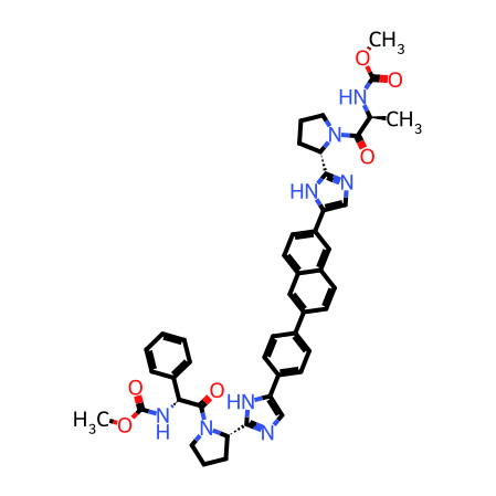 COC(=O)N[C@@H](C)C(=O)N1CCC[C@H]1c1ncc(-c2ccc3cc(-c4ccc(-c5cnc([C@@H]6CCCN6C(=O)[C@H](NC(=O)OC)c6ccccc6)[nH]5)cc4)ccc3c2)[nH]1